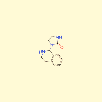 O=C1NCCN1C1NCCc2ccccc21